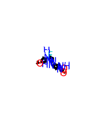 COC(=O)CN1NCc2cc(Nc3ncc(F)c(Nc4ccc(OC(C)C)cc4)n3)ccc21